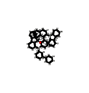 CC1(C)c2ccccc2-c2cccc(N(c3cccc(-c4ccccc4)c3)c3cccc(-c4c(-n5c6ccccc6c6ccccc65)ccc5ccccc45)c3)c21